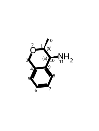 C[C@@H]1OCc2ccccc2[C@@H]1N